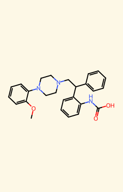 COc1ccccc1N1CCN(CC(c2ccccc2)c2ccccc2NC(=O)O)CC1